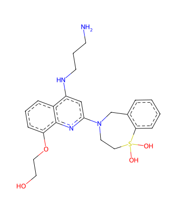 NCCCNc1cc(N2CCS(O)(O)c3ccccc3C2)nc2c(OCCO)cccc12